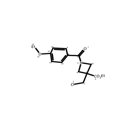 CCOC(=O)C1(CCl)CN(C(=O)c2ccc(OCC)cc2)C1